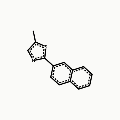 Cc1cnc(-c2ccc3ccccc3c2)s1